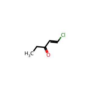 CCC(=O)C=CCl